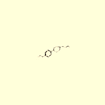 CCCc1ccc(C2CCC(C/C=C/F)CC2)cc1